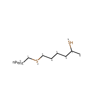 CCCCCCSCCCCC(C)S